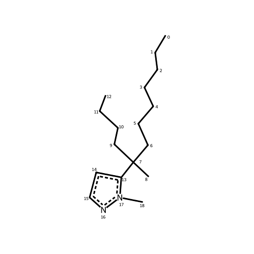 CCCCCCCC(C)(CCCC)c1ccnn1C